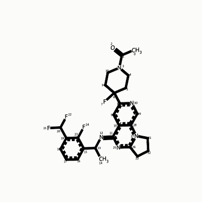 CC(=O)N1CCC(F)(c2cc3/c(=N/C(C)c4cccc(C(F)F)c4F)nc4n(c3cn2)CCC4)CC1